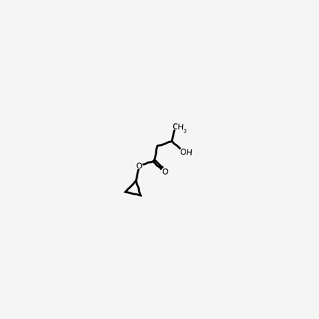 CC(O)CC(=O)OC1CC1